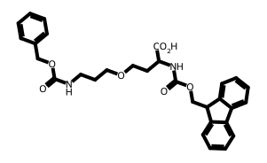 O=C(NCCCOCCC(NC(=O)OCC1c2ccccc2-c2ccccc21)C(=O)O)OCc1ccccc1